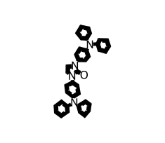 O=c1n(-c2ccc(N(c3ccccc3)c3ccccc3)cc2)ccn1-c1ccc(N(c2ccccc2)c2ccccc2)cc1